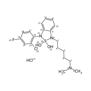 CN(C)CCCCCN1c2ccccc2N(c2ccc(F)cc2Cl)S1(O)O.Cl